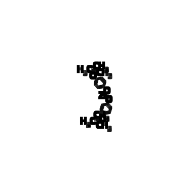 CC(C)(C)Oc1ccc([O][Zr][O]c2ccc(OC(C)(C)C)cc2)cc1